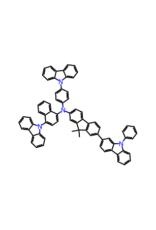 CC1(C)c2cc(-c3ccc4c5ccccc5n(-c5ccccc5)c4c3)ccc2-c2ccc(N(c3ccc(-n4c5ccccc5c5ccccc54)cc3)c3ccc(-n4c5ccccc5c5ccccc54)c4ccccc34)cc21